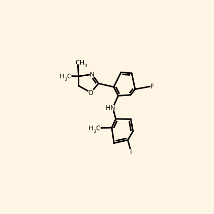 Cc1cc(I)ccc1Nc1cc(F)ccc1C1=NC(C)(C)CO1